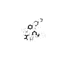 COc1cc(Nc2nc(Nc3cccc(C(C)(C)O)n3)c3c(C)csc3n2)ccc1N1CCC(N2CCC2)CC1